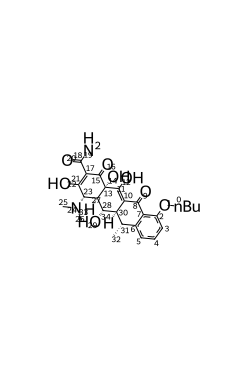 CCCCOc1cccc2c1C(=O)C1=C(O)[C@]3(O)C(=O)C(C(N)=O)=C(O)[C@@H](N(C)C)[C@@H]3[C@@H](O)[C@@H]1[C@H]2C